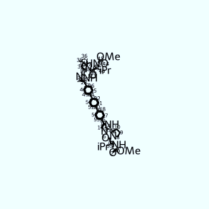 COC(=O)N[C@H](C(=O)N1CCC[C@H]1c1ncc(-c2ccc(-c3ccc(-c4ccc(-c5cnc([C@@H]6C[Si](C)(C)CN6C(=O)[C@@H](NC(=O)OC)C(C)C)[nH]5)cc4)cc3)cc2)[nH]1)C(C)C